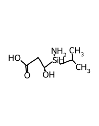 CC(C)C[Si@H](N)[C@@H](O)CC(=O)O